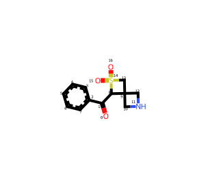 O=C(c1ccccc1)C1C2(CNC2)CS1(=O)=O